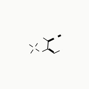 C/C=C(/O[Si](C)(C)C(C)(C)C)C(=[N+]=[N-])C(=O)OCC